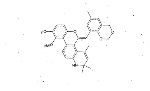 COc1c(O)ccc2c1-c1ccc3c(c1/C(=C/c1cc(C)cc4c1OCOC4)O2)C(C)=CC(C)(C)N3